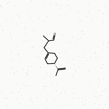 C=C(C)[C@@H]1CC=C(CC(C)C=O)CC1